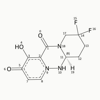 O=C1c2c(O)c(=O)ccn2N[C@@H]2CCC(F)(F)CN12